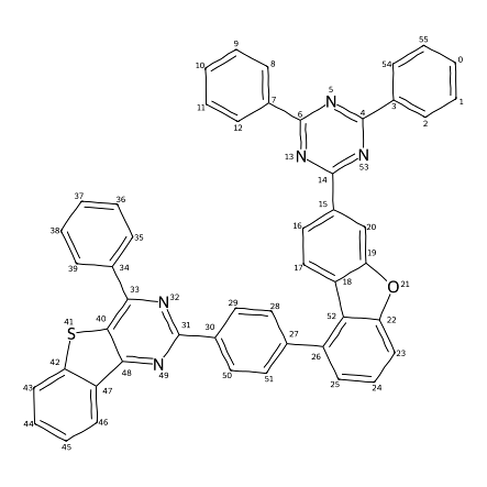 c1ccc(-c2nc(-c3ccccc3)nc(-c3ccc4c(c3)oc3cccc(-c5ccc(-c6nc(-c7ccccc7)c7sc8ccccc8c7n6)cc5)c34)n2)cc1